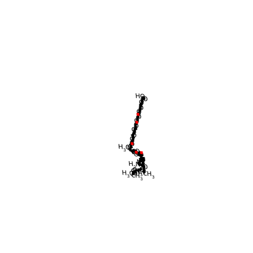 CCCN(CCCNC(=O)OC(C)(C)C)C(=O)C1=Cc2ccc(-c3cccc(S(=O)(=O)N4CC(CN(C)CCOCCOCCOCCOCCOCCOCCOCCOCCOCCOCCC(=O)O)C4)c3)cc2N=C(N)C1